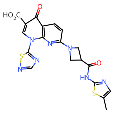 Cc1cnc(NC(=O)C2CN(c3ccc4c(=O)c(C(=O)O)cn(-c5ncns5)c4n3)C2)s1